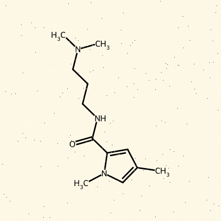 Cc1cc(C(=O)NCCCN(C)C)n(C)c1